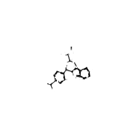 COC(=O)C1Cc2c([nH]c3ccccc23)C(c2ccc(C(C)C)cc2)N1